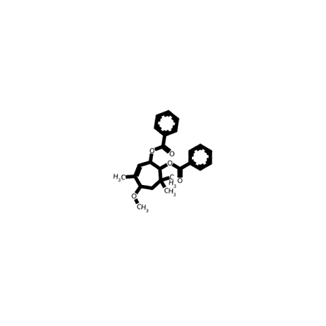 COC1CC(C)(C)C(OC(=O)c2ccccc2)C(OC(=O)c2ccccc2)C=C1C